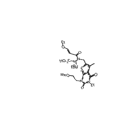 CCOC=CC(=O)N(Cc1sc2c(c1C)c(=O)n(CC)c(=O)n2CCOC)N(C(=O)O)C(C)(C)C